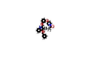 CC(=O)N1CCC(Oc2cccc(OCc3nc4ccccc4c(OCc4ccccc4)c3C)c2)CC1